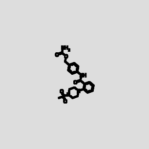 CS(=O)(=O)N1CCN(c2ccccc2C(=O)Nc2ccc(COC(N)=O)cc2)CC1